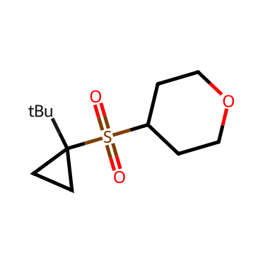 CC(C)(C)C1(S(=O)(=O)C2CCOCC2)CC1